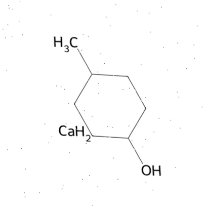 CC1CCC(O)CC1.[CaH2]